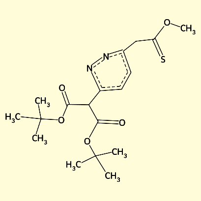 COC(=S)Cc1ccc(C(C(=O)OC(C)(C)C)C(=O)OC(C)(C)C)nn1